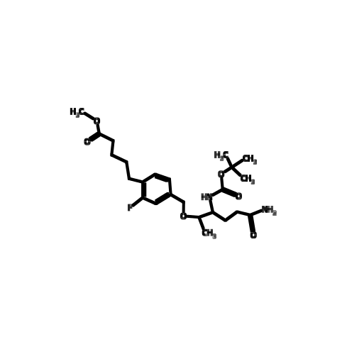 COC(=O)CCCCc1ccc(COC(C)C(CCC(N)=O)NC(=O)OC(C)(C)C)cc1F